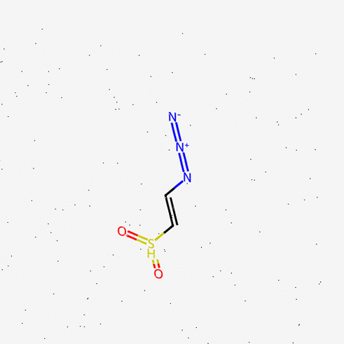 [N-]=[N+]=NC=C[SH](=O)=O